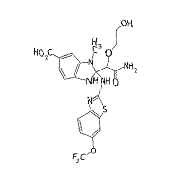 CN1c2cc(C(=O)O)ccc2NC1(Nc1nc2ccc(OC(F)(F)F)cc2s1)C(OCCO)C(N)=O